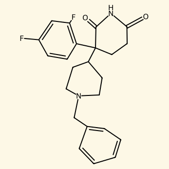 O=C1CCC(c2ccc(F)cc2F)(C2CCN(Cc3ccccc3)CC2)C(=O)N1